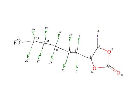 O=C1OC(I)C(C(F)(F)C(F)(F)C(F)(F)C(F)(F)C(F)(F)C(F)(F)F)O1